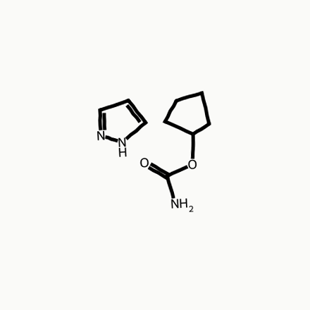 NC(=O)OC1CCCC1.c1cn[nH]c1